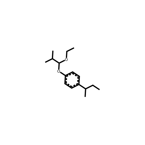 CCOC(Oc1ccc(C(C)CC)cc1)C(C)C